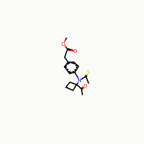 COC(=O)Cc1ccc(N(C(C)=S)C2(C(C)=O)CCC2)cc1